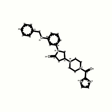 O=C(c1nccs1)N1CCN(C2CC(=O)N(c3cccc(OCc4ccccc4)c3)C2)CC1